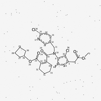 COC(=O)Cc1sc(F)c(N(Cc2ccc(Cl)nc2)C(=O)C2=C(C(=O)OC3CCCC3)CCCC2)c1Cl